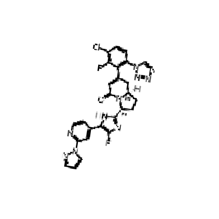 O=C1C=C(c2c(-n3cnnn3)ccc(Cl)c2F)C[C@H]2CC[C@@H](c3nc(F)c(-c4ccnc(-n5cccn5)c4)[nH]3)N12